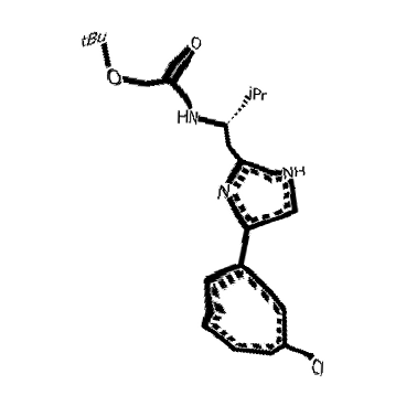 CC(C)[C@@H](NC(=O)OC(C)(C)C)c1nc(-c2cccc(Cl)c2)c[nH]1